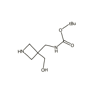 CC(C)(C)OC(=O)NCC1(CO)CNC1